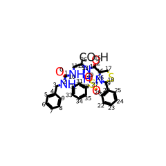 O=C(NCc1ccccc1)NCC(NC(=O)C1CSC(c2ccccc2)N1S(=O)(=O)c1ccccc1)C(=O)O